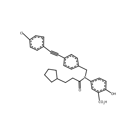 O=C(O)c1cc(N(Cc2ccc(C#Cc3ccc(Cl)cc3)cc2)C(=O)CCC2CCCC2)ccc1O